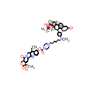 CCc1c2c(nc3ccc(OC(=O)N4CCN(CCCCCCN(C)c5ccc(C6C[C@@]7(C)[C@@H](CC[C@]7(OC(C)=O)[C@@H](C)O)[C@@H]7CCC8=CC(=O)CCC8=C67)cc5)CC4)cc13)-c1cc3c(c(=O)n1C2)COC(=O)[C@]3(O)CC